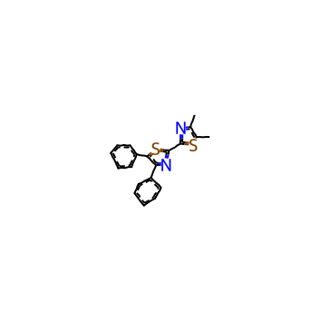 Cc1nc(-c2nc(-c3ccccc3)c(-c3ccccc3)s2)sc1C